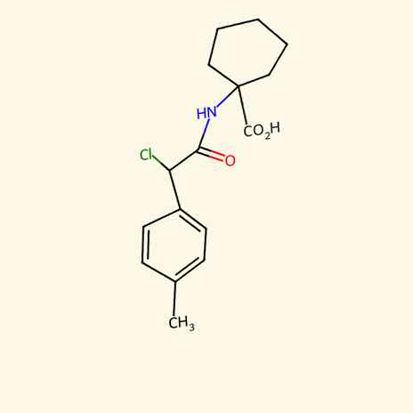 Cc1ccc(C(Cl)C(=O)NC2(C(=O)O)CCCCC2)cc1